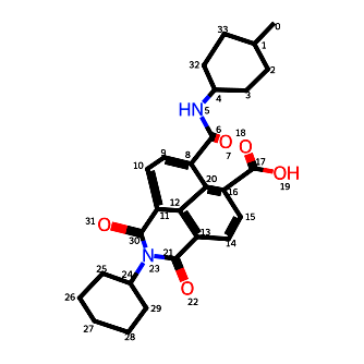 CC1CCC(NC(=O)c2ccc3c4c(ccc(C(=O)O)c24)C(=O)N(C2CCCCC2)C3=O)CC1